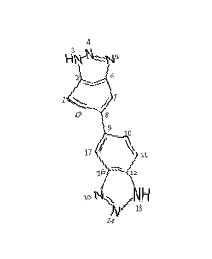 c1cc2[nH]nnc2cc1-c1ccc2[nH]nnc2c1